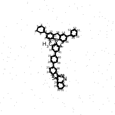 Cc1cc(C2=CC=CCC2)cc2c1B(c1ccc(-c3ccc(-c4ccc5sc6c7ccccc7nnc6c5c4)cc3)cc1)c1c(C)cc(-c3ccccc3)cc1C2